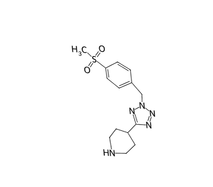 CS(=O)(=O)c1ccc(Cn2nnc(C3CCNCC3)n2)cc1